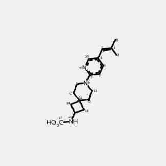 CC(C)=Cc1ccc(N2CCC3(CC2)CC(NC(=O)O)C3)nc1